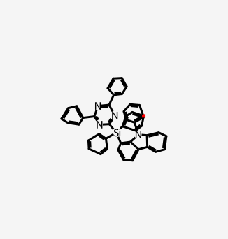 c1ccc(-c2nc(-c3ccccc3)nc([Si](c3ccccc3)(c3ccccc3)c3cccc4c5ccccc5n(-c5ccccc5)c34)n2)cc1